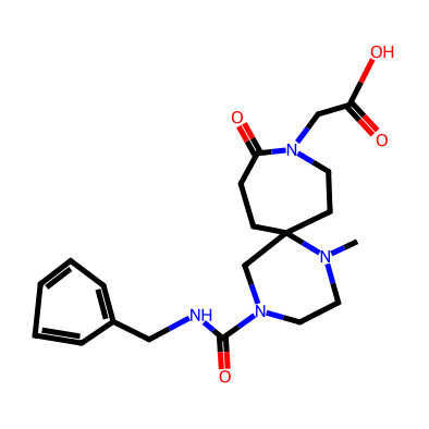 CN1CCN(C(=O)NCc2ccccc2)CC12CCC(=O)N(CC(=O)O)CC2